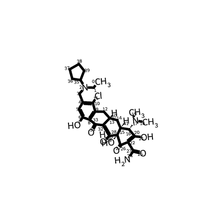 CCN(Cc1cc(O)c2c(c1Cl)C[C@H]1C[C@H]3[C@H](N(C)C)C(O)=C(C(N)=O)C(=O)[C@@]3(O)C(O)=C1C2=O)C1CCCC1